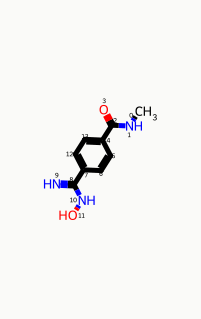 CNC(=O)c1ccc(C(=N)NO)cc1